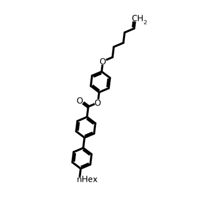 C=CCCCCOc1ccc(OC(=O)c2ccc(-c3ccc(CCCCCC)cc3)cc2)cc1